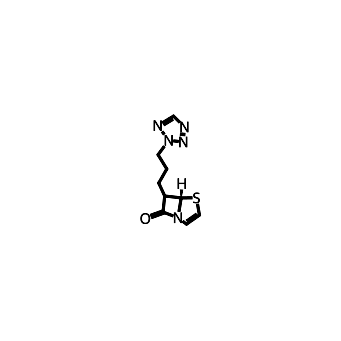 O=C1C(CCCn2ncnn2)[C@@H]2SC=CN12